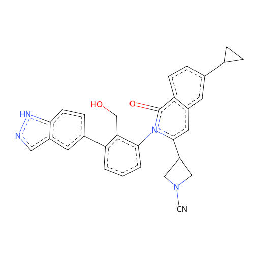 N#CN1CC(c2cc3cc(C4CC4)ccc3c(=O)n2-c2cccc(-c3ccc4[nH]ncc4c3)c2CO)C1